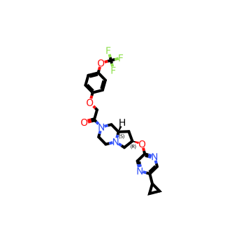 O=C(COc1ccc(OC(F)(F)F)cc1)N1CCN2C[C@H](Oc3cnc(C4CC4)cn3)C[C@H]2C1